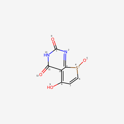 O=c1nc2[s+]([O-])ccc(O)c-2c(=O)[nH]1